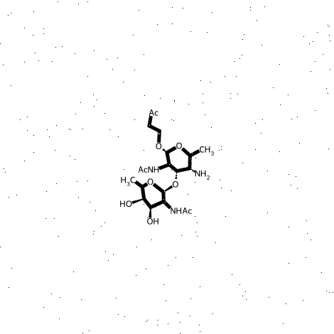 CC(=O)CCO[C@@H]1OC(C)[C@H](N)[C@H](O[C@@H]2OC(C)[C@H](O)[C@H](O)C2NC(C)=O)C1NC(C)=O